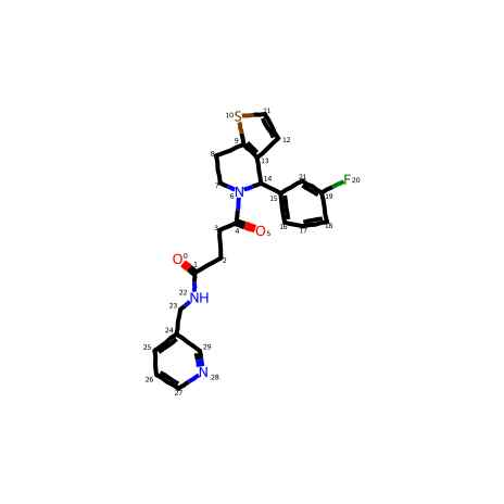 O=C(CCC(=O)N1CCc2sccc2C1c1cccc(F)c1)NCc1cccnc1